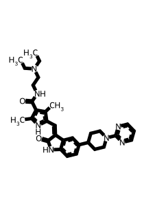 CCN(CC)CCNC(=O)c1c(C)[nH]c(/C=C2\C(=O)Nc3ccc(C4CCN(c5ncccn5)CC4)cc32)c1C